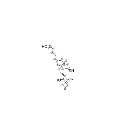 CCCC1([C@@H](O)/C=C/[C@@H]2[C@H]3C/C(=C/CCCC(=O)O)C[C@@H]3C[C@H]2O)CCC1